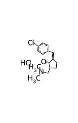 CN(C)CC1CCC(=Cc2ccc(Cl)cc2)C1=O.Cl